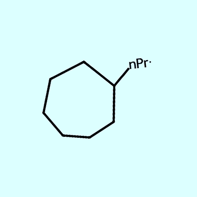 CC[CH]C1CCCCCC1